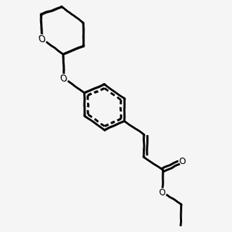 CCOC(=O)C=Cc1ccc(OC2CCCCO2)cc1